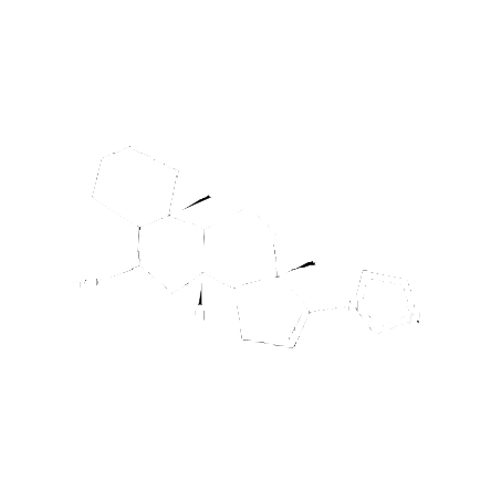 C[C@]12CCCCC1C(O)C[C@@H]1C2CC[C@]2(C)C(n3ccnc3)=CCC12